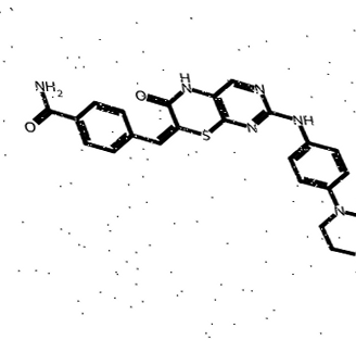 CN1CCN(c2ccc(Nc3ncc4c(n3)S/C(=C/c3ccc(C(N)=O)cc3)C(=O)N4)cc2)CC1